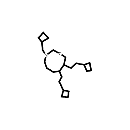 C1CC(CCC2CCCN(CC3CCC3)CCCC2CCC2CCC2)C1